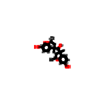 CCC(O)CC(C)(C(=O)C(C)(CC(O)CC)c1ccc(O)cc1)c1ccc(O)cc1